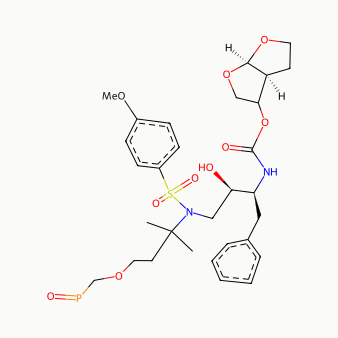 COc1ccc(S(=O)(=O)N(C[C@@H](O)[C@H](Cc2ccccc2)NC(=O)OC2CO[C@H]3OCC[C@@H]23)C(C)(C)CCOCP=O)cc1